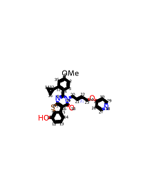 COc1ccc(-c2nc3sc4c(O)cccc4c3c(=O)n2C/C=C/COc2ccncc2)c(C2CC2)c1